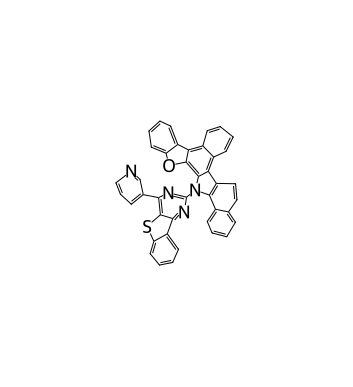 c1cncc(-c2nc(-n3c4c5ccccc5ccc4c4c5ccccc5c5c6ccccc6oc5c43)nc3c2sc2ccccc23)c1